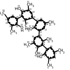 Cc1cc(C)c(O)c(-c2c(C)c(-c3cc(C)cc(-c4cc(C)c(O)c(-c5cc(C)cc(C)c5O)c4C)c3O)cc(C)c2O)c1